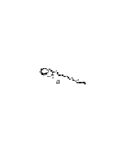 CCCCCCCCCCCCC(O)C[n+]1ccccc1.[Cl-]